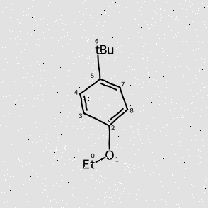 [CH2]COc1ccc(C(C)(C)C)cc1